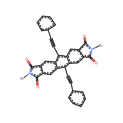 CCn1c(=O)c2cc3c(C#Cc4ccccc4)c4cc5c(=O)n(CC)c(=O)c5cc4c(C#Cc4ccccc4)c3cc2c1=O